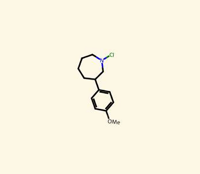 COc1ccc(C2CCCCN(Cl)C2)cc1